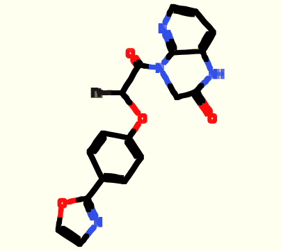 CCC(Oc1ccc(-c2ncco2)cc1)C(=O)N1CC(=O)Nc2cccnc21